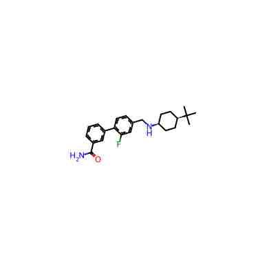 CC(C)(C)[C@H]1CC[C@@H](NCc2ccc(-c3cccc(C(N)=O)c3)c(F)c2)CC1